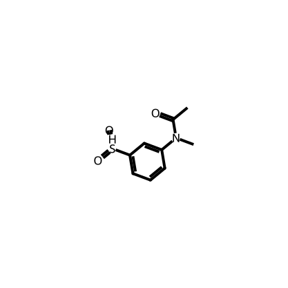 CC(=O)N(C)c1cccc([SH](=O)=O)c1